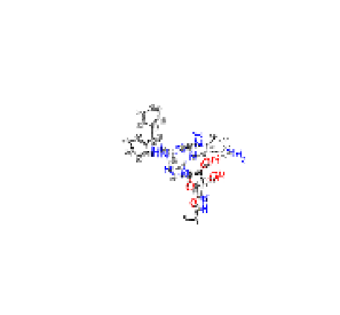 CCc1nnc([C@H]2O[C@@H](n3cnc4c(NCC(c5ccccc5)c5ccccc5)nc(N[C@H]5CC[C@H](N)CC5)nc43)[C@H](O)[C@@H]2O)o1